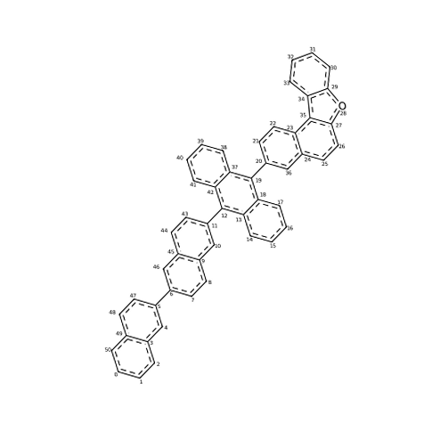 c1ccc2cc(-c3ccc4cc(-c5c6ccccc6c(-c6ccc7c(ccc8oc9ccccc9c87)c6)c6ccccc56)ccc4c3)ccc2c1